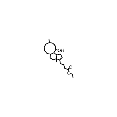 CCOC(=O)CCCC1CCC2C3C(O)CCC(C)CCCCC3CCC12C